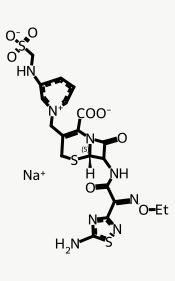 CCON=C(C(=O)NC1C(=O)N2C(C(=O)[O-])=C(C[n+]3cccc(NCS(=O)(=O)[O-])c3)CS[C@@H]12)c1nsc(N)n1.[Na+]